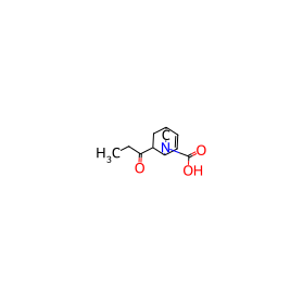 CCC(=O)C1CC2C=CC1N(C(=O)O)C2